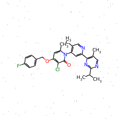 Cc1cnc(-c2nc(C(C)C)ncc2C)cc1-n1c(C)cc(OCc2ccc(F)cc2)c(Cl)c1=O